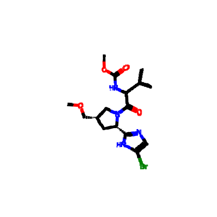 COC[C@H]1C[C@@H](c2ncc(Br)[nH]2)N(C(=O)C(NC(=O)OC)C(C)C)C1